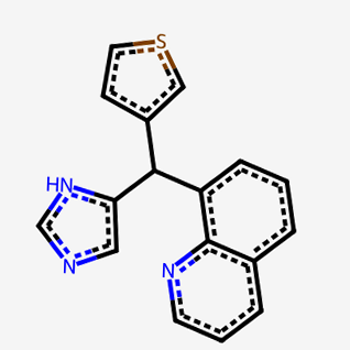 c1cnc2c(C(c3ccsc3)c3cnc[nH]3)cccc2c1